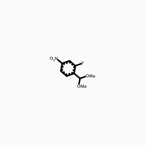 COC(OC)c1ccc([N+](=O)[O-])cc1F